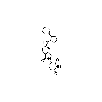 O=C1CCC(N2Cc3cc(NC4CCCC4N4CCCCC4)ccc3C2=O)C(=O)N1